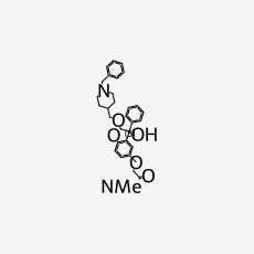 CNC(=O)COc1cccc([C@](O)(C(=O)OCC2CCN(Cc3ccccc3)CC2)c2ccccc2)c1